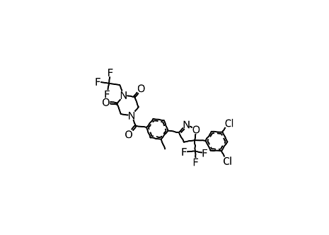 Cc1cc(C(=O)N2CC(=O)N(CC(F)(F)F)C(=O)C2)ccc1C1=NOC(c2cc(Cl)cc(Cl)c2)(C(F)(F)F)C1